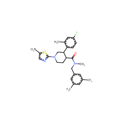 Cc1cc(F)ccc1C1CN(c2ncc([N+](=O)[O-])s2)CCC1C(=O)N(C)Cc1cc(C(F)(F)F)cc(C(F)(F)F)c1